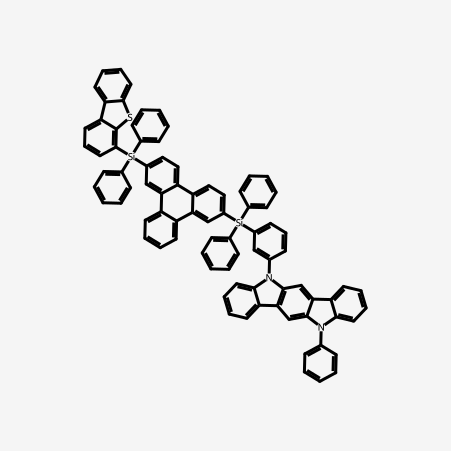 c1ccc(-n2c3ccccc3c3cc4c(cc32)c2ccccc2n4-c2cccc([Si](c3ccccc3)(c3ccccc3)c3ccc4c5ccc([Si](c6ccccc6)(c6ccccc6)c6cccc7c6sc6ccccc67)cc5c5ccccc5c4c3)c2)cc1